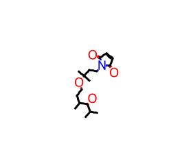 CC(C)C(=O)C(C)CCOC(C)(C)CCN1C(=O)C=CC1=O